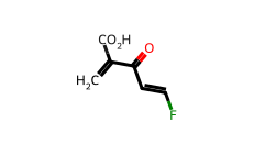 C=C(C(=O)O)C(=O)C=CF